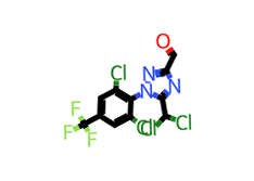 O=Cc1nc(C(Cl)Cl)n(-c2c(Cl)cc(C(F)(F)F)cc2Cl)n1